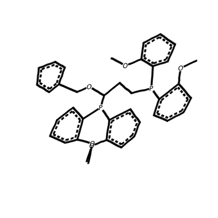 COc1ccccc1P(CCC(OCc1ccccc1)P(c1ccccc1OC)c1ccccc1OC)c1ccccc1OC